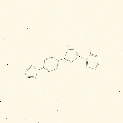 Brc1ccccc1-c1cc(-c2ccc(-n3ccnc3)cc2)[nH]n1